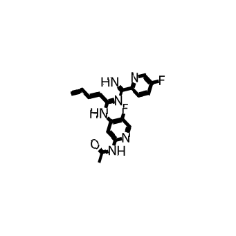 C=C/C=C/C(=N\C(=N)c1ccc(F)cn1)Nc1cc(NC(C)=O)ncc1F